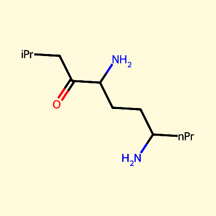 CCCC(N)CCC(N)C(=O)CC(C)C